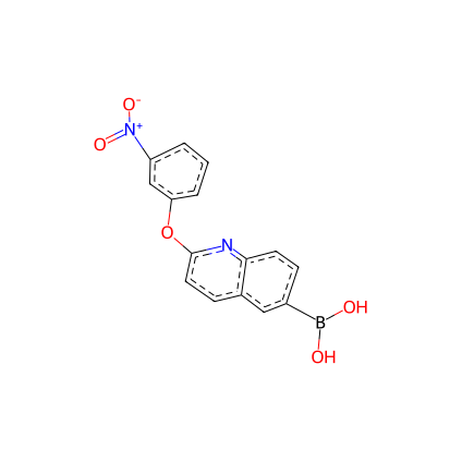 O=[N+]([O-])c1cccc(Oc2ccc3cc(B(O)O)ccc3n2)c1